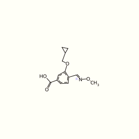 CO/N=C/c1ccc(C(=O)O)cc1OCC1CC1